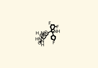 NS(=O)(=O)C(CCc1c(-c2ccc(F)cc2)[nH]c2c(F)cc(F)cc12)CC1NC(=O)NC1=O